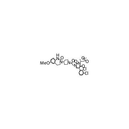 COc1ccc2c(c1)CCN(C1CCN(C(=O)Cn3cc(-c4cccc(Cl)c4Cl)c(=O)n([C@@H](C)CS(C)(=O)=O)c3=O)CC1)C(=O)N2